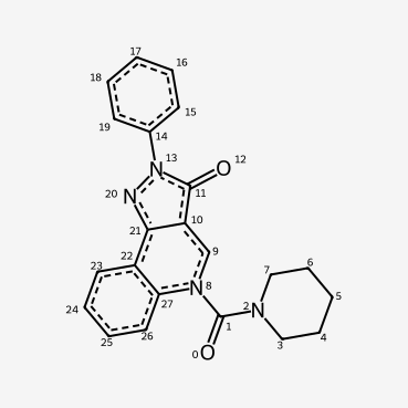 O=C(N1CCCCC1)n1cc2c(=O)n(-c3ccccc3)nc-2c2ccccc21